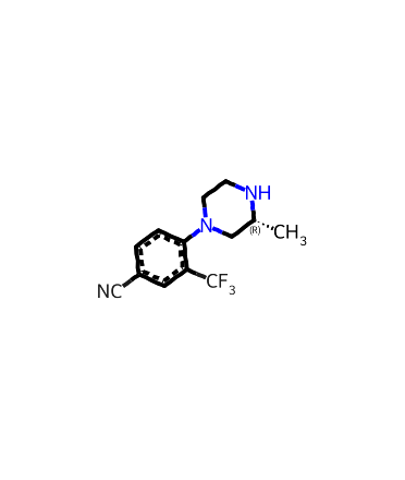 C[C@@H]1CN(c2ccc(C#N)cc2C(F)(F)F)CCN1